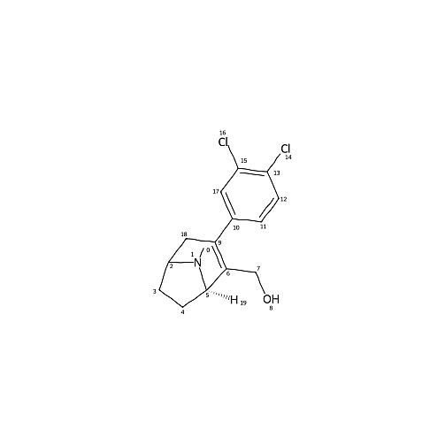 CN1C2CC[C@@H]1C(CO)=C(c1ccc(Cl)c(Cl)c1)C2